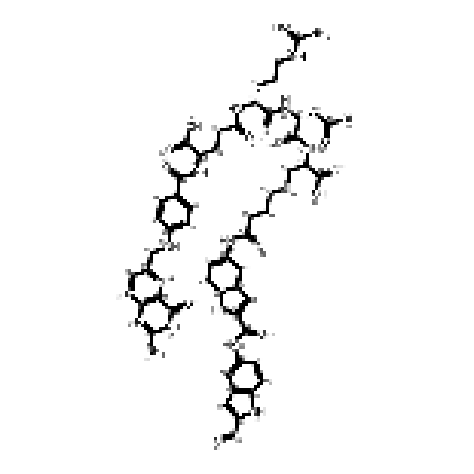 N=C(N)NCCC[C@@H](NC(=O)CCC(NC(=O)c1ccc(NCc2cnc3nc(N)[nH]c(=O)c3n2)cc1)C(=O)O)C(=O)N[C@H](CC(=O)O)C(=O)NC(CSSCCC(=O)NC1=CCC2NC(C(=O)Nc3ccc4[nH]c(C=O)cc4c3)=CC2C1)C(=O)O